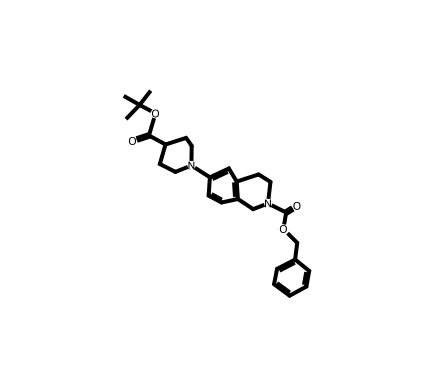 CC(C)(C)OC(=O)C1CCN(c2ccc3c(c2)CCN(C(=O)OCc2ccccc2)C3)CC1